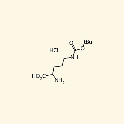 CC(C)(C)OC(=O)NCCCC(N)C(=O)O.Cl